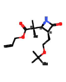 C=CCOC(=O)[C@@](C)(C(C)=O)[C@H]1NC(=O)[C@H]1CCO[Si](C)(C)C(C)(C)C